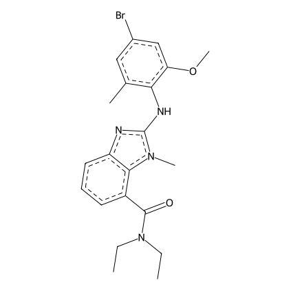 CCN(CC)C(=O)c1cccc2nc(Nc3c(C)cc(Br)cc3OC)n(C)c12